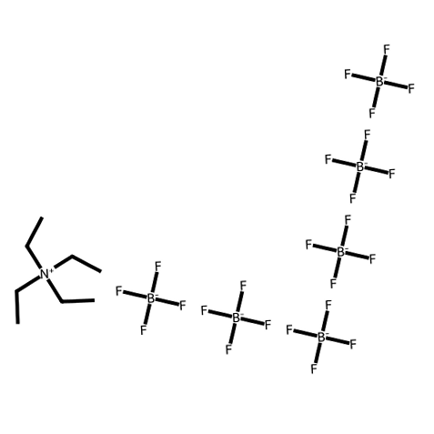 CC[N+](CC)(CC)CC.F[B-](F)(F)F.F[B-](F)(F)F.F[B-](F)(F)F.F[B-](F)(F)F.F[B-](F)(F)F.F[B-](F)(F)F